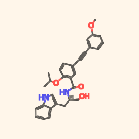 COc1cccc(C#Cc2ccc(OC(C)C)c(C(=O)N[C@@H](CO)Cc3c[nH]c4ccccc34)c2)c1